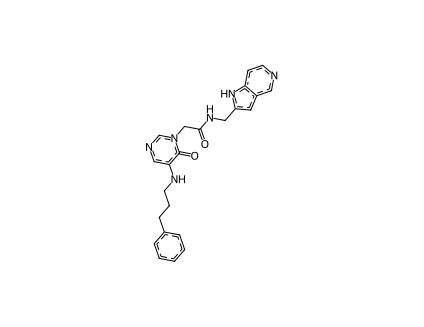 O=C(Cn1cncc(NCCCc2ccccc2)c1=O)NCc1cc2cnccc2[nH]1